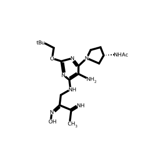 CC(=N)/C(CNc1nc(OCC(C)(C)C)nc(N2CC[C@H](NC(C)=O)C2)c1N)=N\O